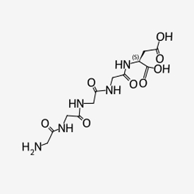 NCC(=O)NCC(=O)NCC(=O)NCC(=O)N[C@@H](CC(=O)O)C(=O)O